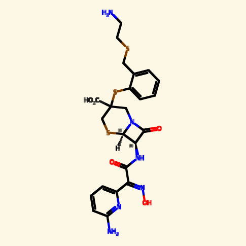 NCCSCc1ccccc1SC1(C(=O)O)CS[C@@H]2[C@H](NC(=O)C(=NO)c3cccc(N)n3)C(=O)N2C1